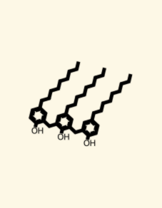 CCCCCCCCCc1ccc(O)c(Cc2cc(CCCCCCCCC)cc(Cc3cc(CCCCCCCCC)ccc3O)c2O)c1